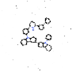 C1=CC(c2cccc(-c3ccccc3)c2)NC(c2cccc(-n3c4ccccc4c4cc(-c5ccc6c7c(n(-c8ccccc8)c6c5)C=CCC7)ccc43)c2)=C1